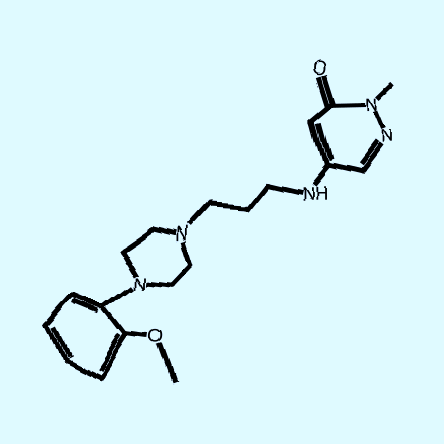 COc1ccccc1N1CCN(CCCNc2cnn(C)c(=O)c2)CC1